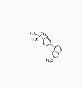 CC1=Cc2c(cccc2-c2ccc(C(C)(C)C)cc2)C1